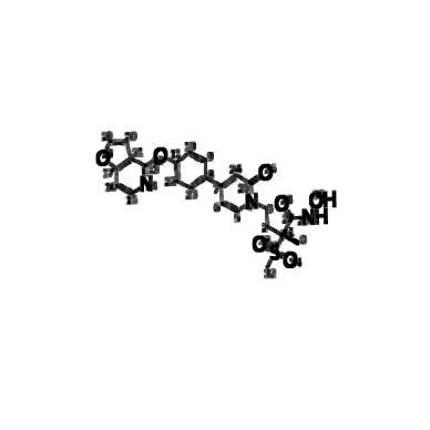 C[C@@](CCn1ccc(-c2ccc(Oc3nccc4occc34)cc2)cc1=O)(C(=O)NO)S(C)(=O)=O